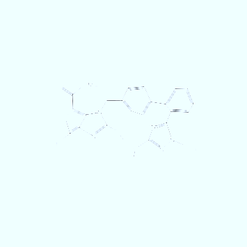 CCOC(=O)Oc1nc(-c2ccccc2-c2ccc(Cn3c(SCC)nc4c(C)sc(C(=O)OC)c43)cc2)n(C)n1